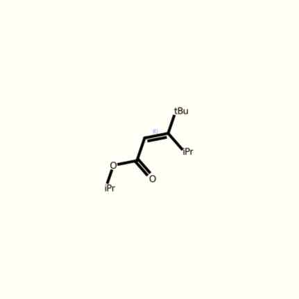 CC(C)OC(=O)/C=C(\C(C)C)C(C)(C)C